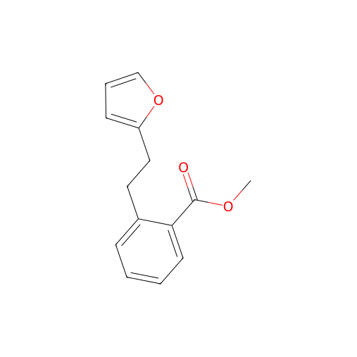 COC(=O)c1ccccc1CCc1ccco1